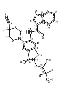 CC1(C#N)CCN(c2cc3c(cc2NC(=O)c2cnn4cccnc24)CN(C[C@@H](F)C(C)(C)O)C3=O)CC1